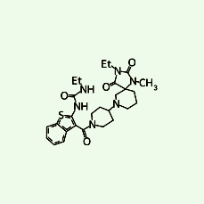 CCNC(=O)Nc1sc2ccccc2c1C(=O)N1CCC(N2CCCC3(C2)C(=O)N(CC)C(=O)N3C)CC1